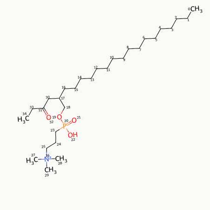 CCCCCCCCCCCCCCCCCC(COP(=O)(O)CCC[N+](C)(C)C)CC(=O)CC